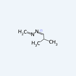 C=N/N=C\C(C)C